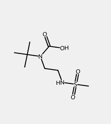 CC(C)(C)N(CCNS(C)(=O)=O)C(=O)O